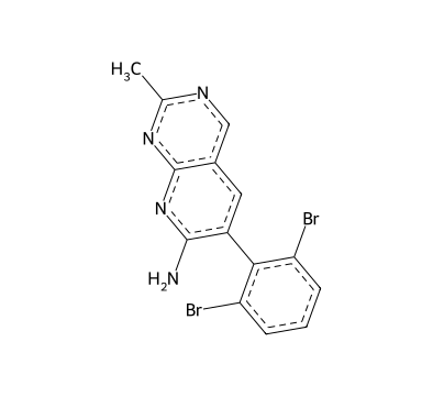 Cc1ncc2cc(-c3c(Br)cccc3Br)c(N)nc2n1